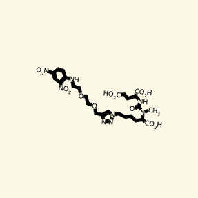 CN(C(=O)NC(CCC(=O)O)C(=O)O)C(CCCCn1cc(COCCOCCNc2ccc([N+](=O)[O-])cc2[N+](=O)[O-])nn1)C(=O)O